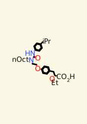 CCCCCCCCN(CCOc1ccc(CC(OCC)C(=O)O)cc1)C(=O)Nc1ccc(C(C)C)cc1